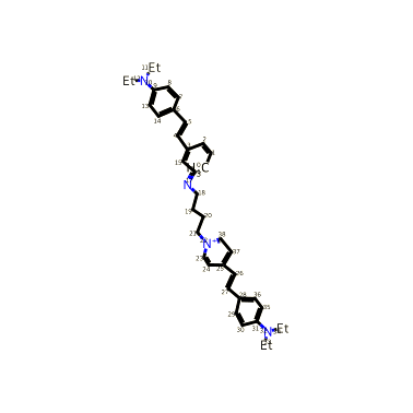 C\C=C/C(/C=C/c1ccc(N(CC)CC)cc1)=C\C=N\CCCC[n+]1ccc(/C=C/c2ccc(N(CC)CC)cc2)cc1